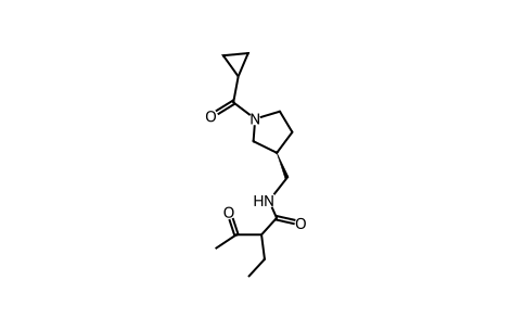 CCC(C(C)=O)C(=O)NC[C@@H]1CCN(C(=O)C2CC2)C1